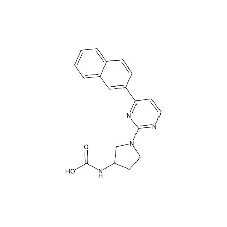 O=C(O)NC1CCN(c2nccc(-c3ccc4ccccc4c3)n2)C1